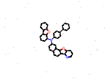 c1ccc(-c2ccc(N(c3ccc4ccc5c6ncccc6oc5c4c3)c3cccc4c3oc3ccccc34)cc2)cc1